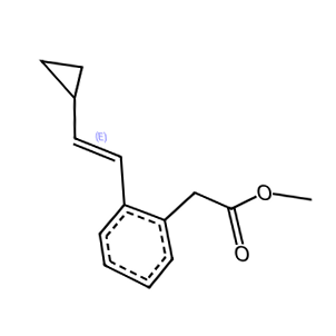 COC(=O)Cc1ccccc1/C=C/C1CC1